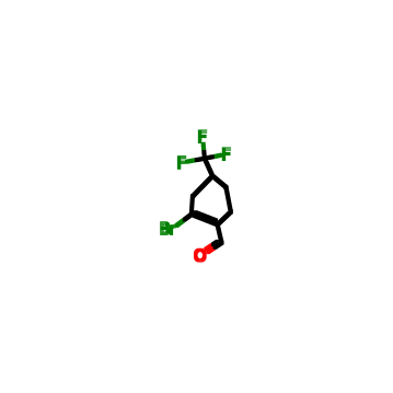 O=CC1=C(Br)CC(C(F)(F)F)CC1